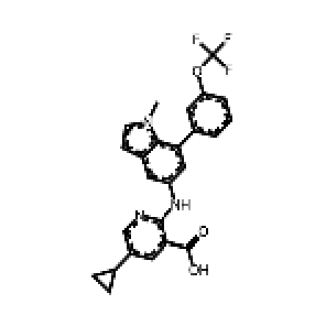 Cn1ccc2cc(Nc3ncc(C4CC4)cc3C(=O)O)cc(-c3cccc(OC(F)(F)F)c3)c21